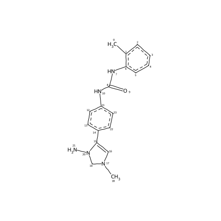 Cc1ccccc1NC(=O)Nc1ccc(C2=CN(C)CN2N)cc1